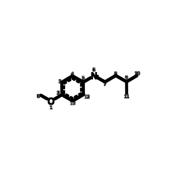 COc1ccc([N]CCC(C)C)cc1